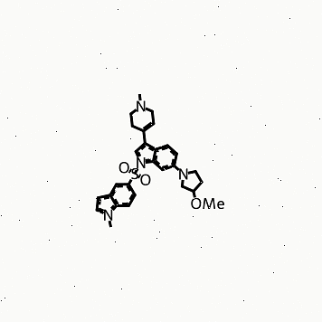 COC1CCN(c2ccc3c(C4=CCN(C)CC4)cn(S(=O)(=O)c4ccc5c(ccn5C)c4)c3c2)C1